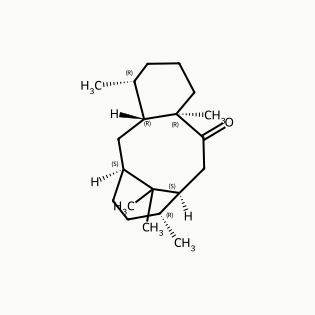 C[C@@H]1CCC[C@@]2(C)C(=O)C[C@H]3[C@H](C)CC[C@@H](C[C@H]12)C3(C)C